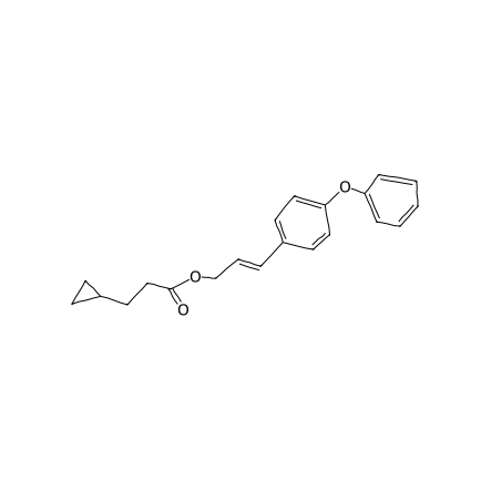 O=C(CCC1CC1)OC/C=C/c1ccc(Oc2ccccc2)cc1